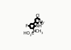 CN(C(=O)O)c1cc(F)cc2c1[nH]c1c2cc(Cl)c[n+]1[O-]